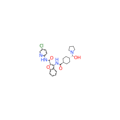 O=C(Nc1ccc(Cl)cn1)c1oc2ccccc2c1NC(=O)[C@H]1CC[C@H](C(O)N2CCCC2)CC1